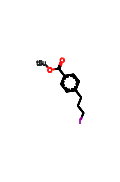 CC(C)(C)OC(=O)c1ccc(CCCI)cc1